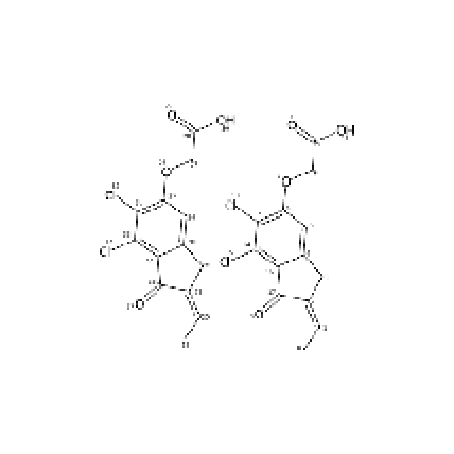 CC=C1Cc2cc(OCC(=O)O)c(Cl)c(Cl)c2C1=O.CC=C1Cc2cc(OCC(=O)O)c(Cl)c(Cl)c2C1=O